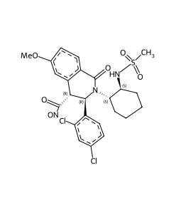 COc1ccc2c(c1)[C@@H](C(=O)N=O)[C@H](c1ccc(Cl)cc1Cl)N([C@H]1CCCC[C@@H]1NS(C)(=O)=O)C2=O